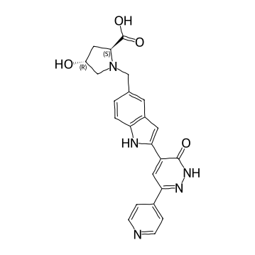 O=C(O)[C@@H]1C[C@@H](O)CN1Cc1ccc2[nH]c(-c3cc(-c4ccncc4)n[nH]c3=O)cc2c1